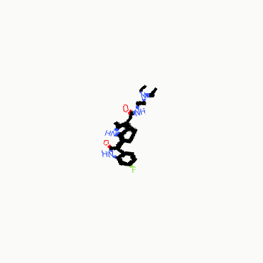 CCN(CC)CCNC(=O)c1c(C)[nH]c2c1CC/C2=C1/C(=O)Nc2cc(F)ccc21